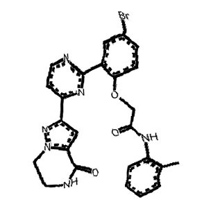 Cc1ccccc1NC(=O)COc1ccc(Br)cc1-c1nccc(-c2cc3n(n2)CCNC3=O)n1